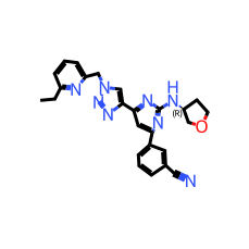 CCc1cccc(Cn2cc(-c3cc(-c4cccc(C#N)c4)nc(N[C@@H]4CCOC4)n3)nn2)n1